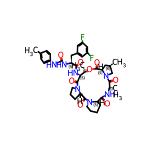 Cc1ccc(NC(=O)N[C@@H](Cc2cc(F)cc(F)c2)C(=O)N[C@@H]2C(=O)N3CCC[C@H]3C(=O)N3CCCC[C@H]3C(=O)N[C@@H](C)C(=O)N3C[C@H](C)C[C@H]3C(=O)O[C@H]2C)cc1